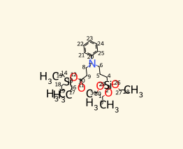 CCO[Si](CCCN(CCC(=O)O[Si](CC)(CC)CC)c1ccccc1)(OCC)OCC